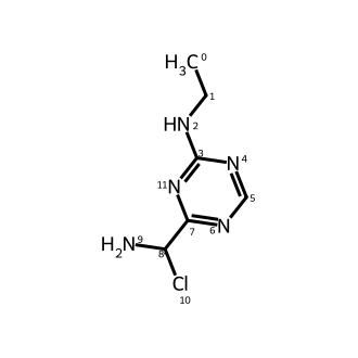 CCNc1ncnc([C](N)Cl)n1